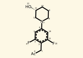 CC(=O)Cc1c(F)cc(N2CCC[C@@H](O)C2)cc1F